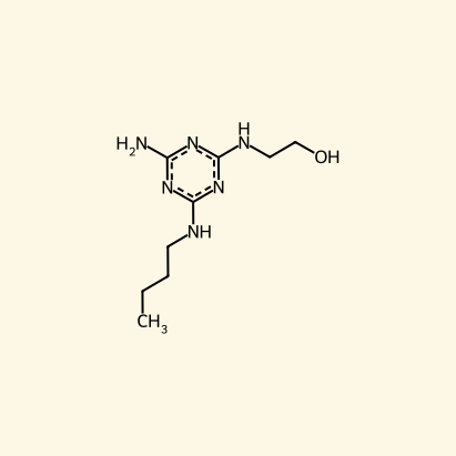 CCCCNc1nc(N)nc(NCCO)n1